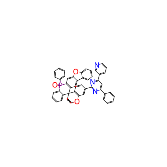 O=P1(c2ccccc2)c2ccccc2C2(c3ccccc3Oc3cc(-c4nc(-c5ccccc5)cc(-c5cccnc5)n4)ccc32)c2cc3c(cc21)oc1ccccc13